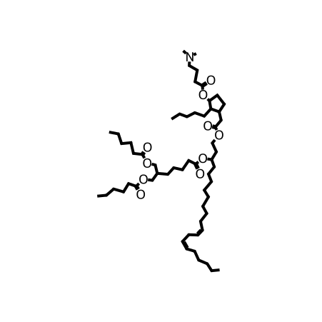 CCCCC/C=C\C/C=C\CCCCCCCCC(CCOC(=O)CC1CCC(OC(=O)CCCN(C)C)C1CCCCC)OC(=O)CCCCC(COC(=O)CCCCC)COC(=O)CCCCC